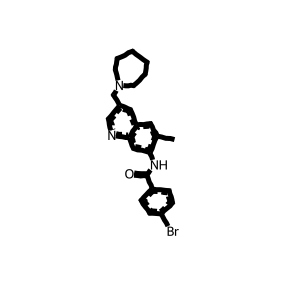 Cc1cc2cc(CN3CCCCCC3)cnc2cc1NC(=O)c1ccc(Br)cc1